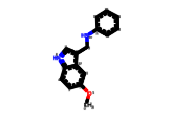 COc1ccc2[nH]cc(CNc3ccccc3)c2c1